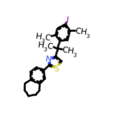 Cc1cc(C(C)(C)c2csc(-c3ccc4c(c3)CCCCC4)n2)c(C)cc1I